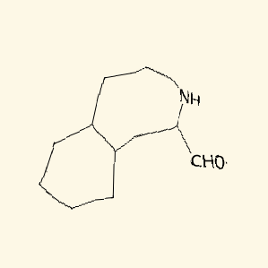 O=[C]C1NCCC2CCCCC21